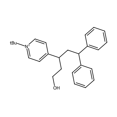 CC(C)(C)[n+]1ccc(C(CCO)CC(c2ccccc2)c2ccccc2)cc1